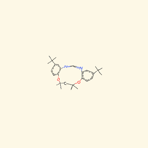 CC1(C)CC(C)(C)Oc2ccc(C(C)(C)C)cc2N=C=Nc2cc(C(C)(C)C)ccc2O1